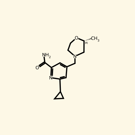 C[C@@H]1CN(Cc2cc(C(N)=O)nc(C3CC3)c2)CCO1